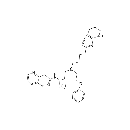 O=C(Cc1ncccc1F)NC(CCN(CCCCc1ccc2c(n1)NCCC2)CCOc1ccccc1)C(=O)O